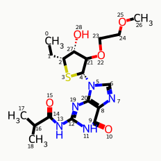 CC[C@H]1S[C@@H](n2cnc3c(=O)[nH]c(NC(=O)C(C)C)nc32)C(OCCOC)[C@H]1O